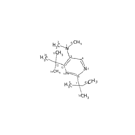 CN(C)c1cnc(C(C)(C)C)nc1C(C)(C)C